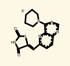 O=C1NC(=O)C(=Cc2ccc3ncnc(N4CCCCC4)c3n2)S1.[K]